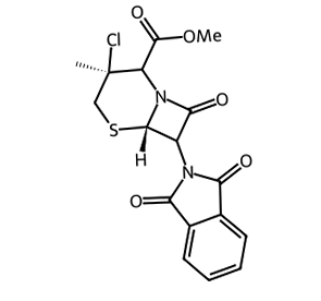 COC(=O)C1N2C(=O)C(N3C(=O)c4ccccc4C3=O)[C@@H]2SC[C@@]1(C)Cl